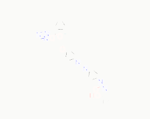 CC(C)(C)C(O)CN1CCN(c2ccc(N3CCN(c4ccc(OCC5COC(Cn6cncn6)(c6ccc(F)cc6F)O5)cc4)CC3)cc2)C1=O